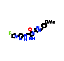 COc1ccc(Cn2cc(N3CC(=N)/C(=C\Nc4ccc(N5CC[C@H](F)C5)nc4)C3=O)cn2)cc1